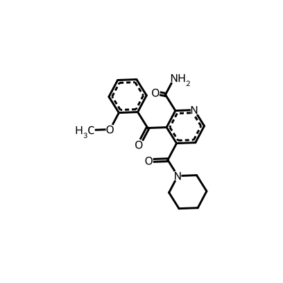 COc1ccccc1C(=O)c1c(C(=O)N2CCCCC2)ccnc1C(N)=O